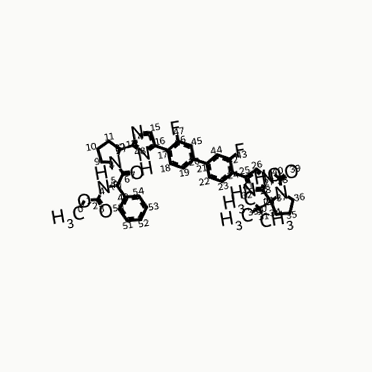 COC(=O)N[C@@H](C(=O)N1CCC[C@H]1c1ncc(-c2ccc(-c3ccc(-c4cnc([C@@]5(C(C)(C)C)CCCN5C(=O)O)[nH]4)c(F)c3)cc2F)[nH]1)c1ccccc1